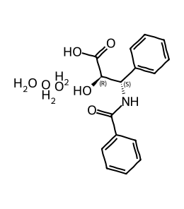 O.O.O.O=C(N[C@@H](c1ccccc1)[C@@H](O)C(=O)O)c1ccccc1